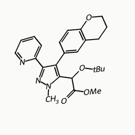 COC(=O)C(OC(C)(C)C)c1c(-c2ccc3c(c2)CCCO3)c(-c2ccccn2)nn1C